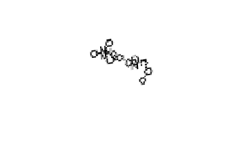 c1ccc(-c2cccc(-c3cccc(-c4nc5ccc(-c6ccc7oc8c(-c9nc(-c%10ccccc%10)nc(-c%10ccccc%10)n9)cccc8c7c6)cc5o4)c3)c2)cc1